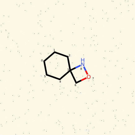 C1CCC2(CC1)CON2